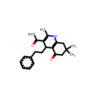 COC(=O)C1=C(C)NC2=C(C(=O)CC(C)(C)C2)C1CCc1ccccc1